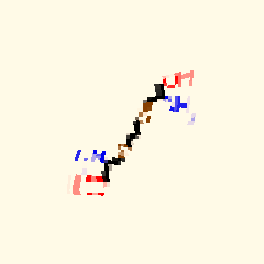 NC(CO)CSCCCCSCC(N)CO